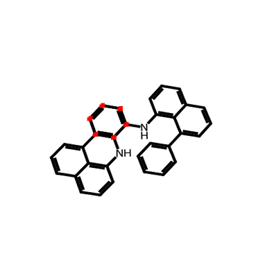 c1ccc(-c2cccc3cccc(Nc4ccccc4Nc4cccc5cccc(-c6ccccc6)c45)c23)cc1